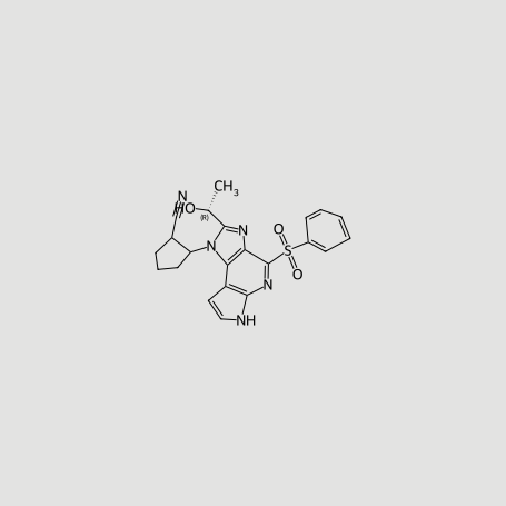 C[C@@H](O)c1nc2c(S(=O)(=O)c3ccccc3)nc3[nH]ccc3c2n1C1CCCC1C#N